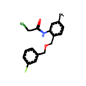 Cc1ccc(COCc2cccc(F)c2)c(NC(=O)CCl)c1